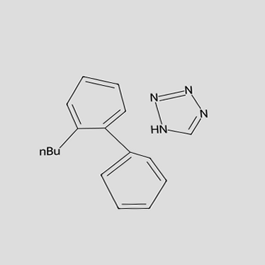 CCCCc1ccccc1-c1ccccc1.c1nnn[nH]1